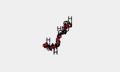 Cc1cccc(C)c1Nc1nn(C)c2nc(Nc3ccc4c(c3)CN(CC3CCN(C(=O)Cc5cccc(NC6=CC(=O)N(C7CCCNC7=O)C6=O)c5)CC3)CC4)ncc12